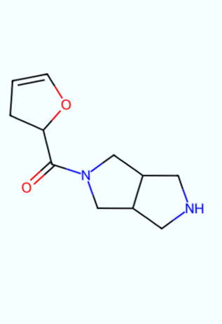 O=C(C1CC=CO1)N1CC2CNCC2C1